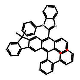 CC1(C)c2ccccc2-c2cc3c(-c4ccccc4-c4ccccc4)c4ccccc4c(-c4nc5ccccc5n4-c4ccccc4)c3cc21